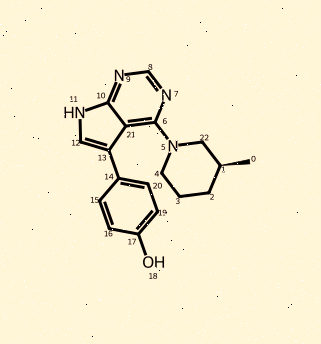 C[C@H]1CCCN(c2ncnc3[nH]cc(-c4ccc(O)cc4)c23)C1